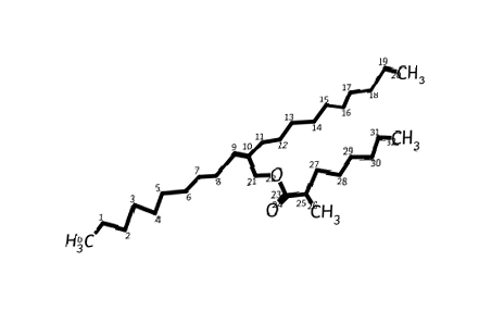 CCCCCCCCCCC(CCCCCCCCCC)COC(=O)C(C)CCCCCC